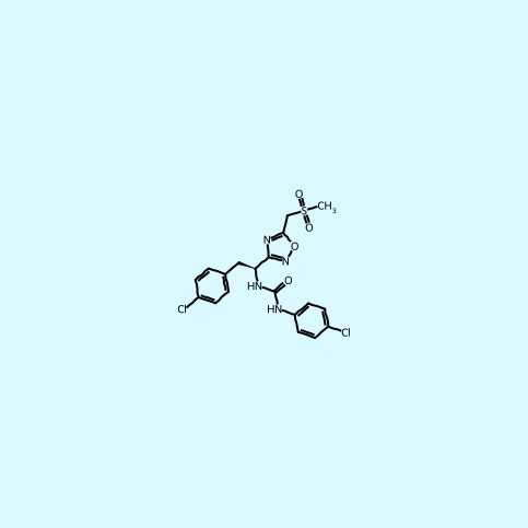 CS(=O)(=O)Cc1nc([C@H](Cc2ccc(Cl)cc2)NC(=O)Nc2ccc(Cl)cc2)no1